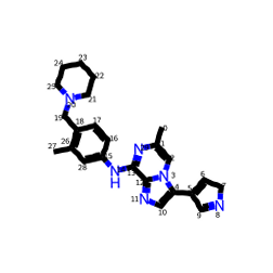 Cc1cn2c(C3=CCN=C3)cnc2c(Nc2ccc(CN3CCCCC3)c(C)c2)n1